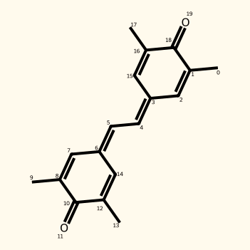 CC1=CC(=CC=C2C=C(C)C(=O)C(C)=C2)C=C(C)C1=O